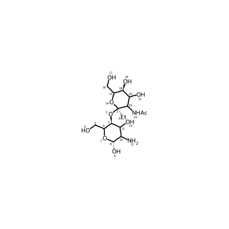 CC[C@]1(O[C@@H]2C(CO)O[C@@H](O)C(N)C2O)OC(CO)[C@@H](O)C(O)C1NC(C)=O